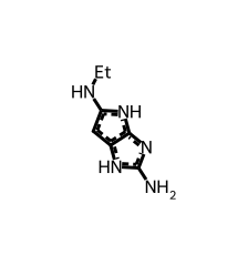 CCNc1cc2[nH]c(N)nc2[nH]1